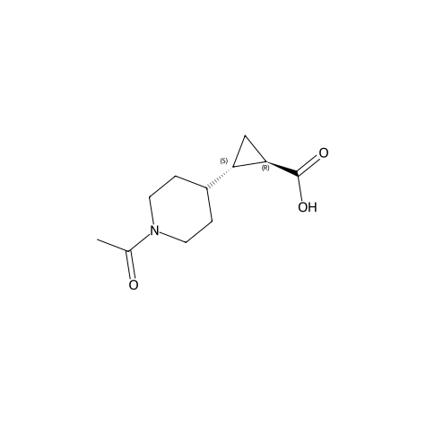 CC(=O)N1CCC([C@@H]2C[C@H]2C(=O)O)CC1